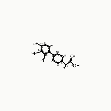 CC(C(=O)O)c1ccc(-c2ccc(F)c(F)c2F)cc1